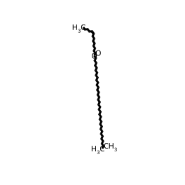 CCCC/C=C\CCCCCCCC(=O)OCCCCCCCCCCCCCCCCCCCCCCCCCCCCCCCCCCCCC(C)C